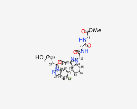 COC(=O)CNC(=O)CNC(=O)Cn1nc(C(C)C)c2c(-c3cc4c(cnn4C(=O)CCC(=O)O)cc3F)cccc21